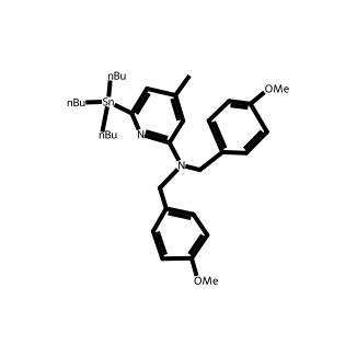 CCC[CH2][Sn]([CH2]CCC)([CH2]CCC)[c]1cc(C)cc(N(Cc2ccc(OC)cc2)Cc2ccc(OC)cc2)n1